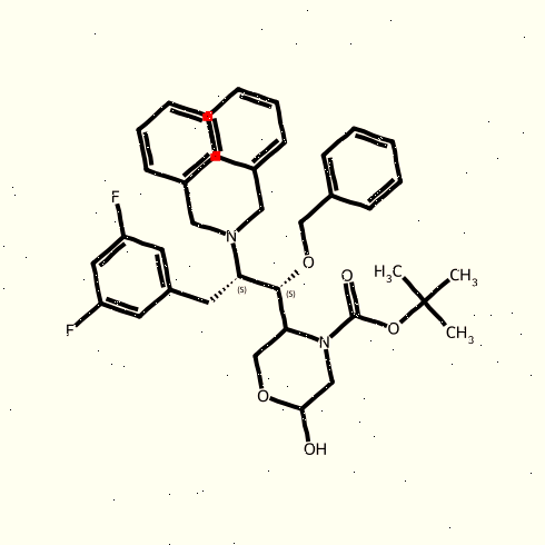 CC(C)(C)OC(=O)N1CC(O)OCC1[C@@H](OCc1ccccc1)[C@H](Cc1cc(F)cc(F)c1)N(Cc1ccccc1)Cc1ccccc1